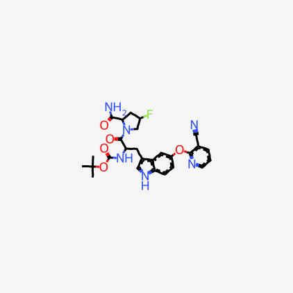 CC(C)(C)OC(=O)NC(Cc1c[nH]c2ccc(Oc3ncccc3C#N)cc12)C(=O)N1CC(F)CC1C(N)=O